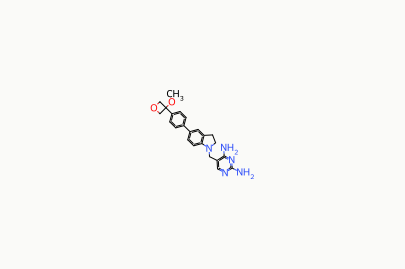 COC1(c2ccc(-c3ccc4c(c3)CCN4Cc3cnc(N)nc3N)cc2)COC1